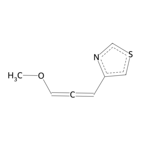 COC=C=Cc1cscn1